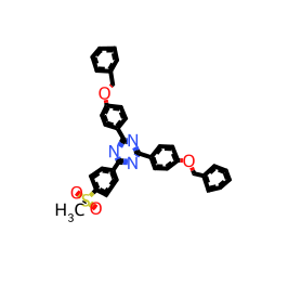 CS(=O)(=O)c1ccc(-c2nc(-c3ccc(OCc4ccccc4)cc3)nc(-c3ccc(OCc4ccccc4)cc3)n2)cc1